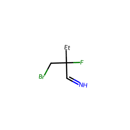 CCC(F)(C=N)CBr